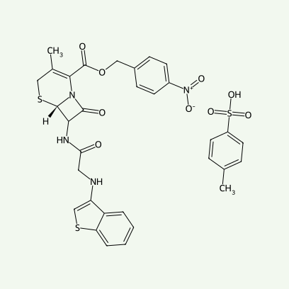 CC1=C(C(=O)OCc2ccc([N+](=O)[O-])cc2)N2C(=O)C(NC(=O)CNc3csc4ccccc34)[C@@H]2SC1.Cc1ccc(S(=O)(=O)O)cc1